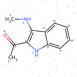 CNc1c(C(C)=O)[nH]c2ccccc12